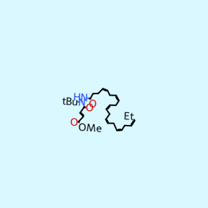 CC/C=C\C/C=C\C/C=C\C/C=C\C/C=C\C/C=C\CCC(=O)NN(C(=O)C=CC(=O)OC)C(C)(C)C